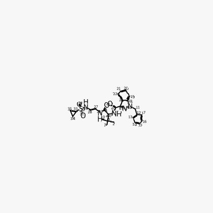 CC(C)(C)[C@H](NC(=O)c1nn(Cc2ccccc2)c2ccccc12)C(=O)NCCNS(=O)(=O)C1CC1